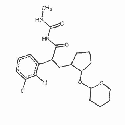 CNC(=O)NC(=O)C(CC1CCCC1OC1CCCCO1)c1cccc(Cl)c1Cl